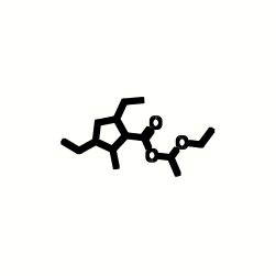 CCOC(C)OC(=O)C1C(CC)CC(CC)C1C